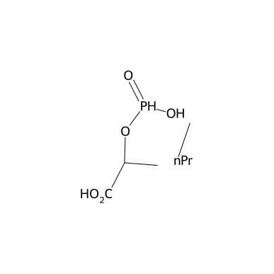 CC(O[PH](=O)O)C(=O)O.CCCC